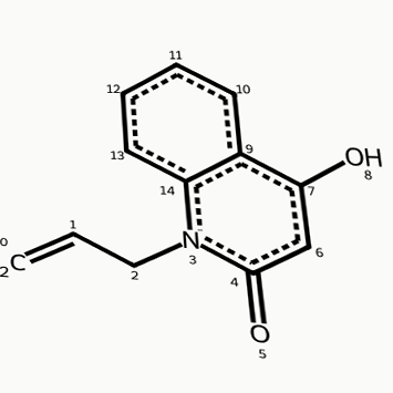 C=CCn1c(=O)cc(O)c2ccccc21